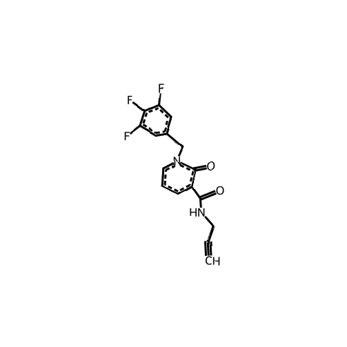 C#CCNC(=O)c1cccn(Cc2cc(F)c(F)c(F)c2)c1=O